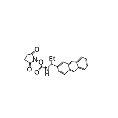 CCC(NC(=O)ON1C(=O)CCC1=O)c1ccc2cc3ccccc3cc2c1